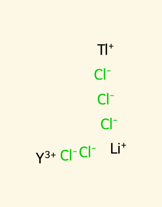 [Cl-].[Cl-].[Cl-].[Cl-].[Cl-].[Li+].[Tl+].[Y+3]